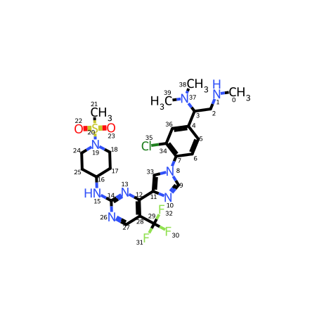 CNCC(c1ccc(-n2cnc(-c3nc(NC4CCN(S(C)(=O)=O)CC4)ncc3C(F)(F)F)c2)c(Cl)c1)N(C)C